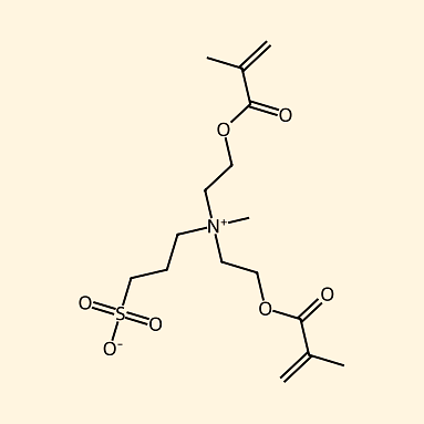 C=C(C)C(=O)OCC[N+](C)(CCCS(=O)(=O)[O-])CCOC(=O)C(=C)C